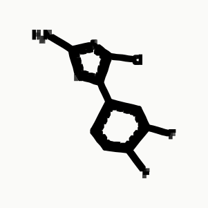 Nc1nc(-c2ccc(F)c(F)c2)c(Cl)s1